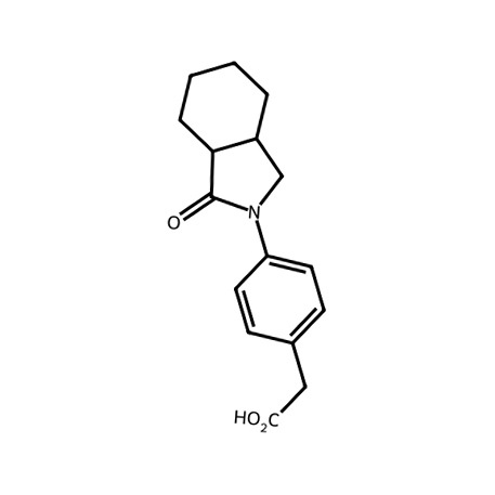 O=C(O)Cc1ccc(N2CC3CCCCC3C2=O)cc1